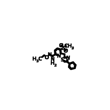 CCO/N=C(\N)c1ccc(S(C)(=O)=O)c(Cc2nc(-c3ccccc3)cs2)n1